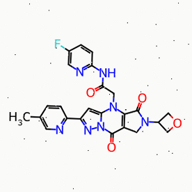 Cc1ccc(-c2cc3n(CC(=O)Nc4ccc(F)cn4)c4c(c(=O)n3n2)CN(C2COC2)C4=O)nc1